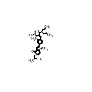 CCCN(CCC)C(=O)/C(=C/c1ccc(-c2cc3c(=O)n(CC(C)C)ccc3n2C)cc1N)CNN